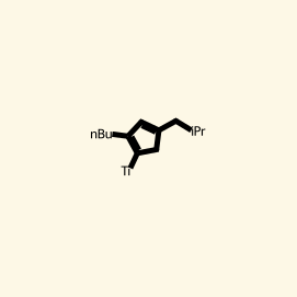 CCCCC1=[C]([Ti])CC(CC(C)C)=C1